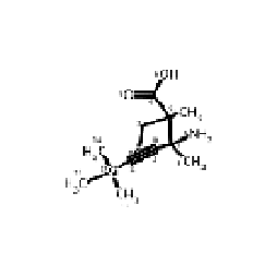 CCC(C)(C(=O)O)C(C)(N)C#C[Si](C)(C)C